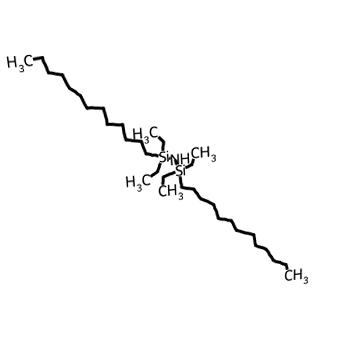 CCCCCCCCCCCCC[Si](CC)(CC)N[Si](CC)(CC)CCCCCCCCCCCCC